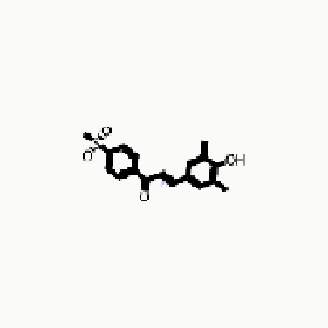 Cc1cc(/C=C/C(=O)c2ccc(S(C)(=O)=O)cc2)cc(C)c1O